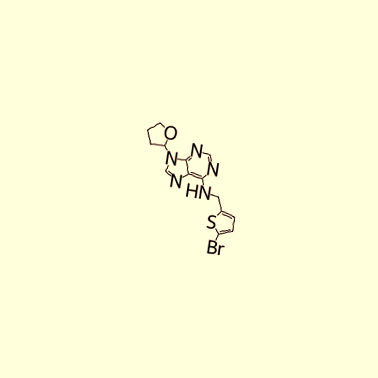 Brc1ccc(CNc2ncnc3c2ncn3C2CCCO2)s1